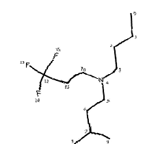 CCCCN(CCC(C)C)CCC(F)(F)F